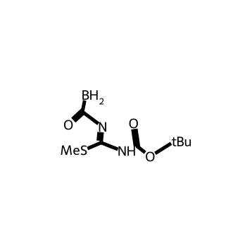 BC(=O)N=C(NC(=O)OC(C)(C)C)SC